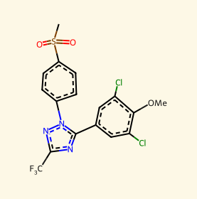 COc1c(Cl)cc(-c2nc(C(F)(F)F)nn2-c2ccc(S(C)(=O)=O)cc2)cc1Cl